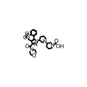 O=C(O)N1CCCC(N2CCCC(n3nc(C(=O)N4CCOCC4)c4c3-c3ccccc3S(=O)(=O)C4)C2)C1